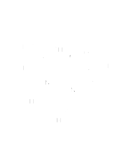 CC(C)(C)c1nc(C(C)(C)C)c2c(n1)C(C)(C)OC2=O